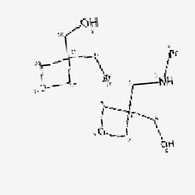 CC(C)NCC1(CO)COC1.OCC1(CBr)COC1